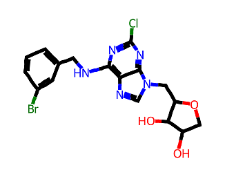 OC1COC(Cn2cnc3c(NCc4cccc(Br)c4)nc(Cl)nc32)C1O